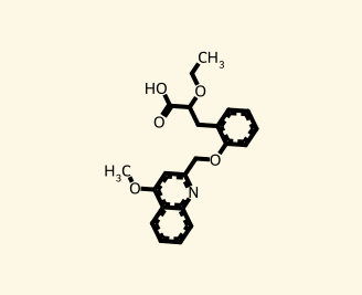 CCOC(Cc1ccccc1OCc1cc(OC)c2ccccc2n1)C(=O)O